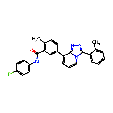 Cc1ccc(-c2cccn3c(-c4ccccc4C)nnc23)cc1C(=O)Nc1ccc(F)cc1